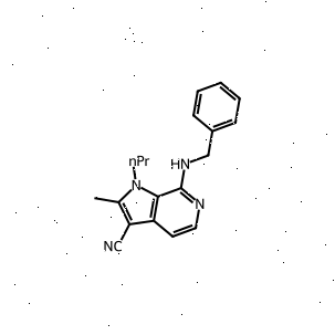 CCCn1c(C)c(C#N)c2ccnc(NCc3ccccc3)c21